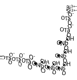 [Bi+3].[O]=[Nb](=[O])[OH].[O]=[Nb](=[O])[OH].[O]=[Nb](=[O])[OH].[O]=[Nb](=[O])[OH].[O]=[Nb](=[O])[OH].[O]=[Ta](=[O])[O-].[O]=[Ta](=[O])[O-].[O]=[Ta](=[O])[O-].[O]=[Ta](=[O])[O-].[O]=[Ta](=[O])[O-].[Sr+2]